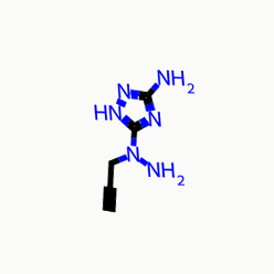 C#CCN(N)c1nc(N)n[nH]1